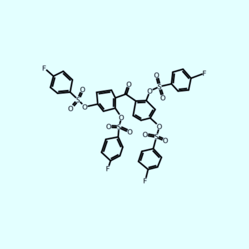 O=C(c1ccc(OS(=O)(=O)c2ccc(F)cc2)cc1OS(=O)(=O)c1ccc(F)cc1)c1ccc(OS(=O)(=O)c2ccc(F)cc2)cc1OS(=O)(=O)c1ccc(F)cc1